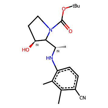 Cc1c(C#N)ccc(N[C@@H](C)C2[C@@H](O)CCN2C(=O)OC(C)(C)C)c1C